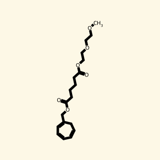 COCCOCCOC(=O)CCCCC(=O)OCC1=CC=CC=CC1